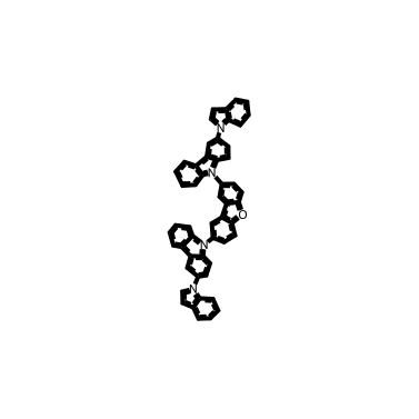 c1ccc2c(c1)ccn2-c1ccc2c(c1)c1ccccc1n2-c1ccc2oc3ccc(-n4c5ccccc5c5cc(-n6ccc7ccccc76)ccc54)cc3c2c1